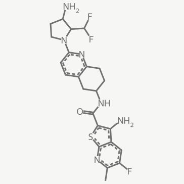 Cc1nc2sc(C(=O)NC3CCc4nc(N5CCC(N)C5C(F)F)ccc4C3)c(N)c2cc1F